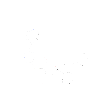 O=C1OC(CCC2CCCCC2)(C2CCCC2)CC(O)=C1Sc1nnc(-c2ccncc2)[nH]1